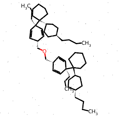 CCCC[C@H]1CC[C@H](C2([C@]3(CCC)C=C[C@@H](COC[C@H]4C=C[C@](CCC)(C5([C@H]6CC[C@H](CCCC)CC6)CCCCC5)C=C4)C=C3)CCCCC2)CC1